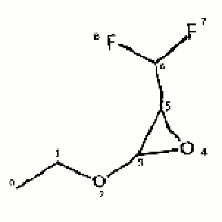 CCOC1OC1C(F)F